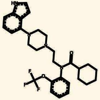 O=C(C1CCCCC1)N(CCN1CCN(c2cccc3[nH]ccc23)CC1)c1ccccc1OC(F)(F)F